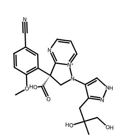 COc1ccc(C#N)cc1[C@]1(C(=O)O)CN(c2c[nH]nc2CC(C)(O)CO)[n+]2cccnc21